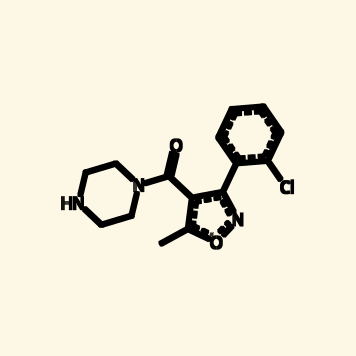 Cc1onc(-c2ccccc2Cl)c1C(=O)N1CCNCC1